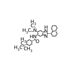 CCN(CC)c1cc2[nH]c(-c3cccc4ccccc34)nc2cc1NC(=O)c1ccc(C(C)(C)C)cc1